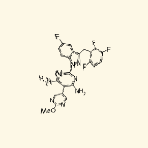 COc1ncc(-c2c(N)nc(-n3nc(Cc4c(F)ccc(F)c4F)c4cc(F)ccc43)nc2N)cn1